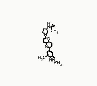 Cc1cc(-c2ccc3nc(N4CCC(NC5(C)CC5)C4)ccc3n2)cc2cn(C)nc12